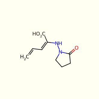 C=CC=C(NN1CCCC1=O)C(=O)O